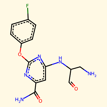 NCC(C=O)Nc1cc(C(N)=O)nc(Oc2ccc(F)cc2)n1